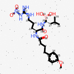 COc1ccc(CCCC(=O)N[C@@H](CCCNC(=N)N[N+](=O)[O-])C(=O)N[C@@H](CC(C)C)B(O)O)cc1